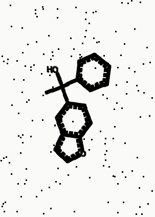 CC(O)(c1ccccc1)c1ccc2occc2c1